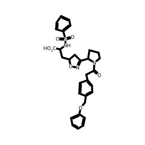 O=C(O)C(CC1CC(C2CCCN2C(=O)Cc2ccc(COc3ccccc3)cc2)=NO1)NS(=O)(=O)c1ccccc1